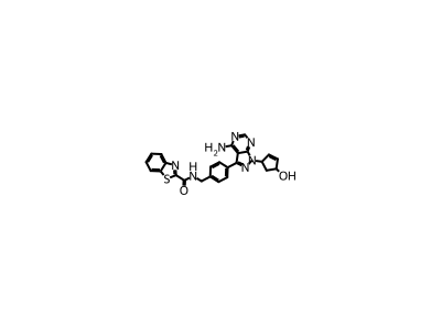 Nc1ncnc2c1c(-c1ccc(CNC(=O)c3nc4ccccc4s3)cc1)nn2C1C=CC(O)C1